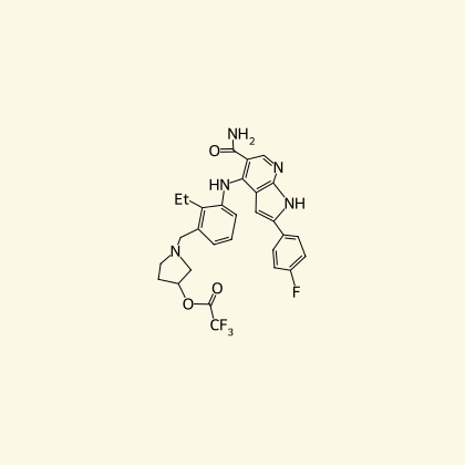 CCc1c(CN2CCC(OC(=O)C(F)(F)F)C2)cccc1Nc1c(C(N)=O)cnc2[nH]c(-c3ccc(F)cc3)cc12